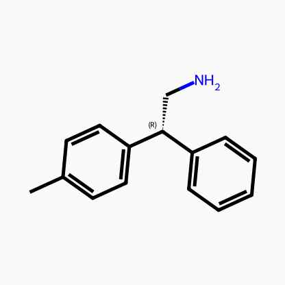 Cc1ccc([C@H](CN)c2ccccc2)cc1